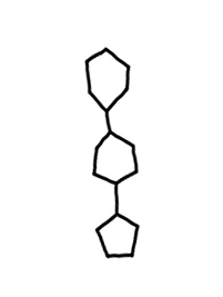 C1CCC(C2CCC(C3CCCC3)CC2)CC1